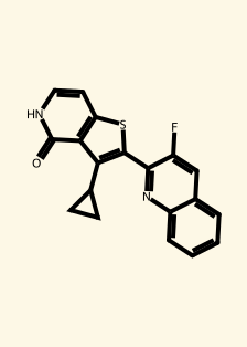 O=c1[nH]ccc2sc(-c3nc4ccccc4cc3F)c(C3CC3)c12